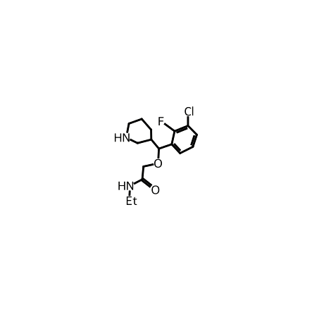 CCNC(=O)COC(c1cccc(Cl)c1F)C1CCCNC1